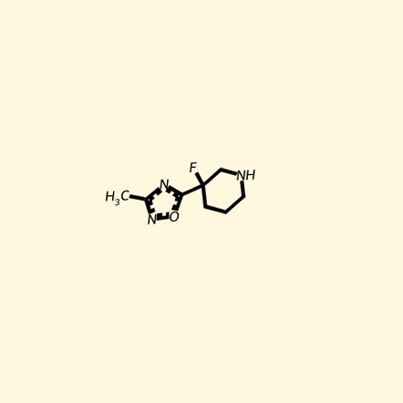 Cc1noc(C2(F)CCCNC2)n1